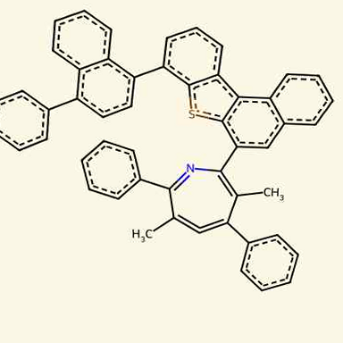 CC1=C=C(c2ccccc2)C(C)=C(c2cc3ccccc3c3c2sc2c(-c4ccc(-c5ccccc5)c5ccccc45)cccc23)N=C1c1ccccc1